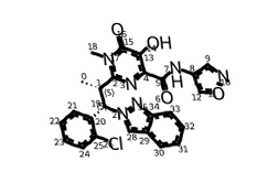 C[C@H](c1nc(C(=O)Nc2cnoc2)c(O)c(=O)n1C)[C@@H](c1ccccc1Cl)n1cc2ccccc2n1